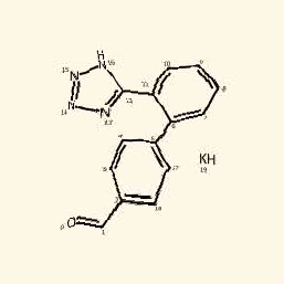 O=Cc1ccc(-c2ccccc2-c2nnn[nH]2)cc1.[KH]